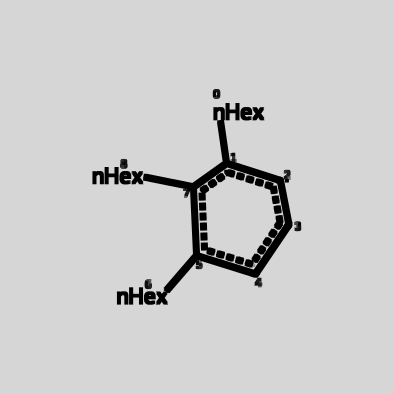 CCCCCCc1[c]ccc(CCCCCC)c1CCCCCC